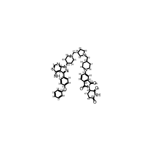 Nc1ncnc2c1c(-c1ccc(Oc3ccccc3)cc1)nn2C1CCN(C[C@H]2CCN(CC3CCN(c4ccc5c(c4)C(=O)N(C4CCC(=O)NC4=O)C5=O)CC3)C2)CC1